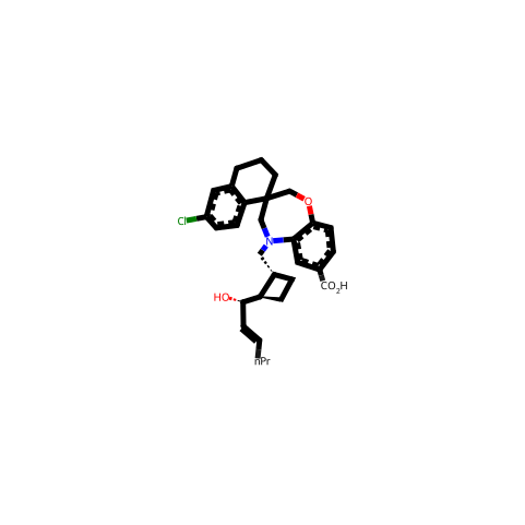 CCC/C=C/[C@H](O)[C@@H]1CC[C@H]1CN1CC2(CCCc3cc(Cl)ccc32)COc2ccc(C(=O)O)cc21